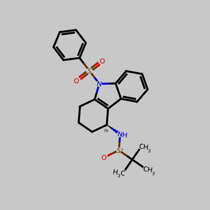 CC(C)(C)[S+]([O-])N[C@H]1CCCc2c1c1ccccc1n2S(=O)(=O)c1ccccc1